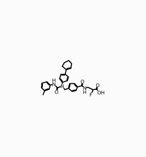 Cc1cccc(NC(=O)N(Cc2ccc(C(=O)NCC(F)C(=O)O)cc2)c2ccc(C3=CCCCC3)cc2)c1